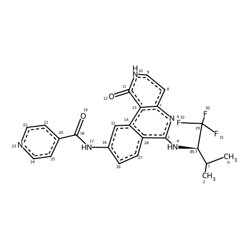 CC(C)[C@@H](Nc1nc2cc[nH]c(=O)c2c2cc(NC(=O)c3ccncc3)ccc12)C(F)(F)F